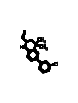 CC1(C)CC(C=S)Nc2ccc(-c3cccc(Cl)c3)cc21